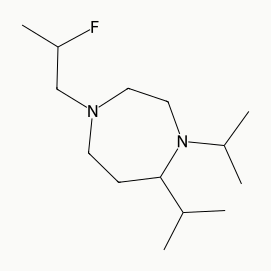 CC(F)CN1CCC(C(C)C)N(C(C)C)CC1